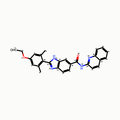 Cc1cc(OCC=O)cc(C)c1-c1nc2ccc(C(=O)Nc3ccc4ccccc4n3)cc2[nH]1